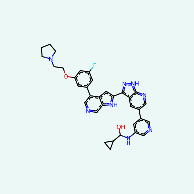 OC(Nc1cncc(-c2cnc3[nH]nc(-c4cc5c(-c6cc(F)cc(OCCN7CCCC7)c6)cncc5[nH]4)c3c2)c1)C1CC1